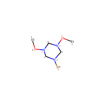 CCON1CN(S)CN(OCC)C1